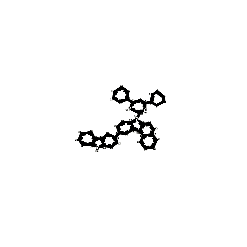 C1=CCCC(c2cc(-c3ccccc3)nc(-n3c4ccc(-c5ccc6oc7ccccc7c6c5)cc4c4c5ccccc5ccc43)n2)=C1